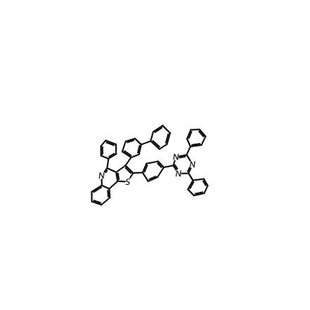 c1ccc(-c2cccc(-c3c(-c4ccc(-c5nc(-c6ccccc6)nc(-c6ccccc6)n5)cc4)sc4c3c(-c3ccccc3)nc3ccccc34)c2)cc1